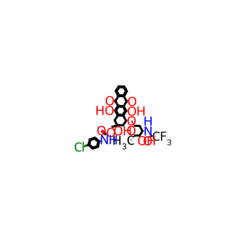 C[C@@H]1O[C@@H](O[C@H]2C[C@](O)(COC(=O)Nc3ccc(Cl)cc3)Cc3c(O)c4c(c(O)c32)C(=O)c2ccccc2C4=O)C[C@H](NC(=O)C(F)(F)F)[C@H]1O